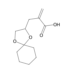 C=C(CC1COC2(CCCCC2)O1)C(=O)O